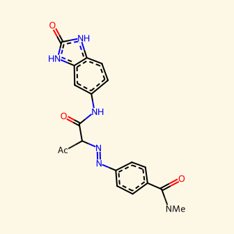 CNC(=O)c1ccc(/N=N/C(C(C)=O)C(=O)Nc2ccc3[nH]c(=O)[nH]c3c2)cc1